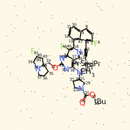 CC(C)[Si](C#Cc1c(F)ccc2cccc(-c3ncc4c(N(C)[C@@H]5CCN(C(=O)OC(C)(C)C)C5)nc(OC[C@]56CCCN5C[C@H](F)C6)nc4c3F)c12)(C(C)C)C(C)C